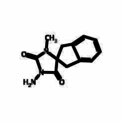 CN1C(=O)N(N)C(=O)C12Cc1ccccc1C2